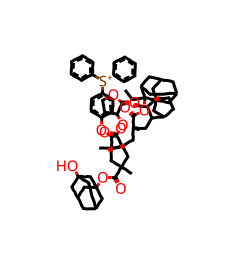 CCC1(OC(=O)C(C)(CC2C3CCC(C3)C2C)CC(C)(CC(C)(CC(C)(C)C(=O)Oc2ccc([S+](c3ccccc3)c3ccccc3)cc2)C(=O)OC23CC4CC(CC(O)(C4)C2)C3)C(=O)OC2CCOC2=O)C2CC3CC(C2)CC1C3